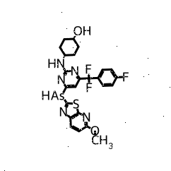 COc1ccc2nc([AsH]c3cc(C(F)(F)c4ccc(F)cc4)nc(N[C@H]4CC[C@H](O)CC4)n3)sc2n1